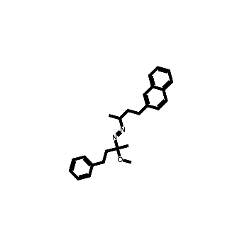 COC(C)(CCc1ccccc1)/N=N/C(C)CCc1ccc2ccccc2c1